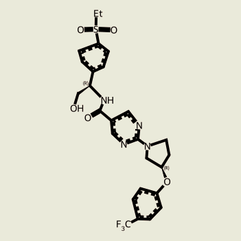 CCS(=O)(=O)c1ccc([C@H](CO)NC(=O)c2cnc(N3CC[C@@H](Oc4ccc(C(F)(F)F)cc4)C3)nc2)cc1